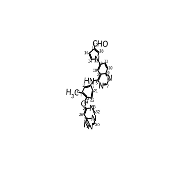 Cc1cc(Nc2ncnc3ccc(-n4ccc(C=O)c4)cc23)ccc1Oc1cc2nncn2cn1